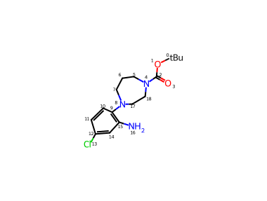 CC(C)(C)OC(=O)N1CCCN(c2ccc(Cl)cc2N)CC1